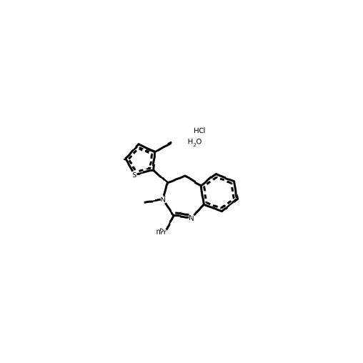 CCCC1=Nc2ccccc2CC(c2sccc2C)N1C.Cl.O